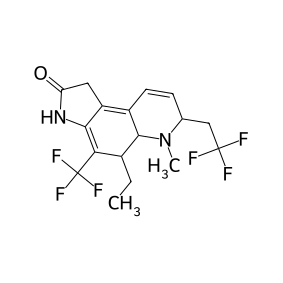 CCC1C(C(F)(F)F)=C2NC(=O)CC2=C2C=CC(CC(F)(F)F)N(C)C21